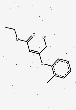 CCOC(=O)/C=C(\CBr)Oc1ccccc1C